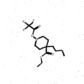 CCCCC1(C(=O)OCC)CCN(OC(=O)C(F)(F)F)CC1